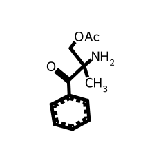 CC(=O)OCC(C)(N)C(=O)c1ccccc1